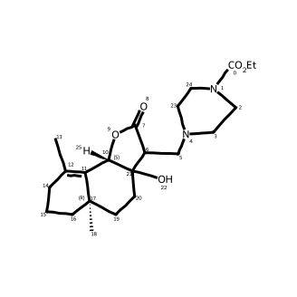 CCOC(=O)N1CCN(CC2C(=O)O[C@H]3C4=C(C)CCC[C@]4(C)CCC23O)CC1